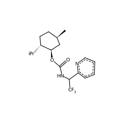 CC(C)[C@@H]1CC[C@@H](C)C[C@H]1OC(=O)NC(c1ccccn1)C(F)(F)F